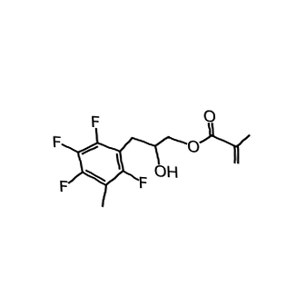 C=C(C)C(=O)OCC(O)Cc1c(F)c(C)c(F)c(F)c1F